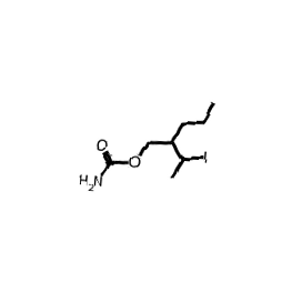 CCCC(COC(N)=O)C(C)I